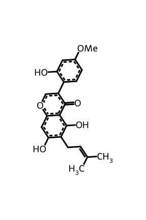 COc1ccc(-c2coc3cc(O)c(CC=C(C)C)c(O)c3c2=O)c(O)c1